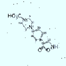 O=C(O)N1CCN(c2ccc(-c3c[nH]oc3=O)cc2)CC1